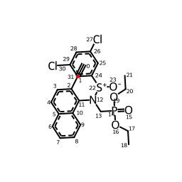 C#Cc1ccc2ccccc2c1N(CP(=O)(OCC)OCC)[S+]([O-])c1cc(Cl)cc(Cl)c1